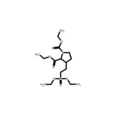 CCOC(=O)C1C(CCP(=O)(OCC)OCC)CCN1C(=O)OCC